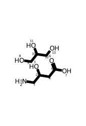 NCC(O)CC(=O)O.OCC(O)CO